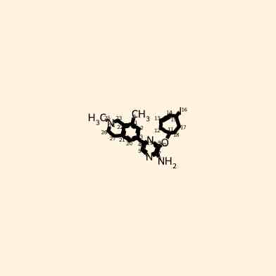 Cc1cc(-c2cnc(N)c(OC3CC=CC(I)CC3)n2)cc2c1CN(C)CC2